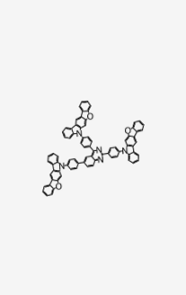 c1ccc2c(c1)oc1cc3c(cc12)c1ccccc1n3-c1ccc(-c2ccc3nc(-c4ccc(-n5c6ccccc6c6cc7c(cc65)oc5ccccc57)cc4)nc(-c4ccc(-n5c6ccccc6c6cc7c(cc65)oc5ccccc57)cc4)c3c2)cc1